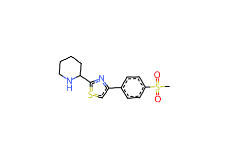 CS(=O)(=O)c1ccc(-c2csc(C3CCCCN3)n2)cc1